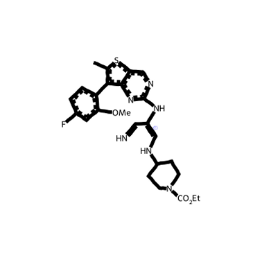 CCOC(=O)N1CCC(N/C=C(\C=N)Nc2ncc3sc(C)c(-c4ccc(F)cc4OC)c3n2)CC1